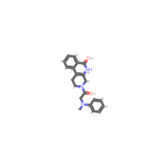 CN(CC(=O)N1CCc2c([nH]c(=O)c3ccccc23)C1)c1ccccc1